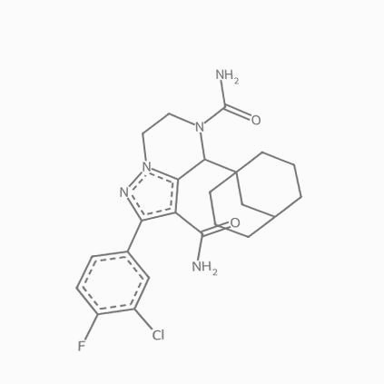 NC(=O)c1c(-c2ccc(F)c(Cl)c2)nn2c1C(C13CCCC(CCC1)C3)N(C(N)=O)CC2